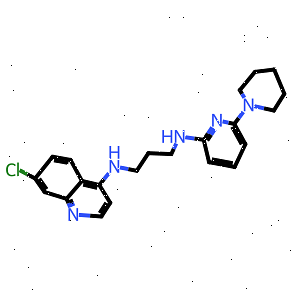 Clc1ccc2c(NCCCNc3cccc(N4CCCCC4)n3)ccnc2c1